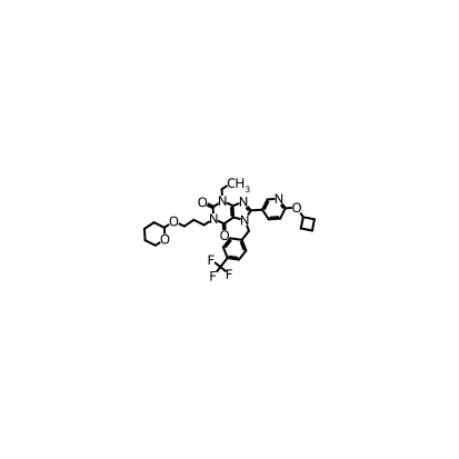 CCn1c(=O)n(CCCOC2CCCCO2)c(=O)c2c1nc(-c1ccc(OC3CCC3)nc1)n2Cc1ccc(C(F)(F)F)cc1